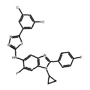 Fc1ccc(-c2nc3cc(Nc4nnc(-c5cc(Cl)cc(Cl)c5)s4)c(F)cc3n2C2CC2)cc1